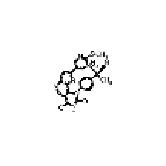 CSc1ncc(-c2ccc3ncc4c(=O)[nH]c(=O)n(-c5ccc(C(C)(C)C#N)cc5)c4c3n2)cn1